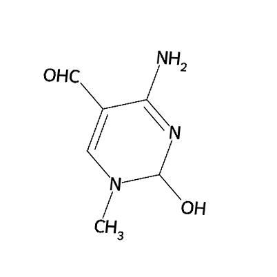 CN1C=C(C=O)C(N)=NC1O